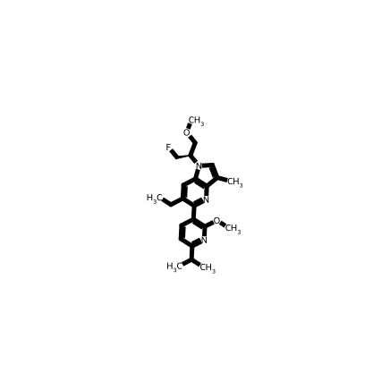 CCc1cc2c(nc1-c1ccc(C(C)C)nc1OC)c(C)cn2[C@@H](CF)COC